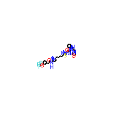 O=C(Cc1cccc(OC(F)(F)F)c1)Nc1ccc(CCCCc2nnc(NC(=O)Cn3c(CN4CCOCC4)nc4ccccc43)s2)nn1